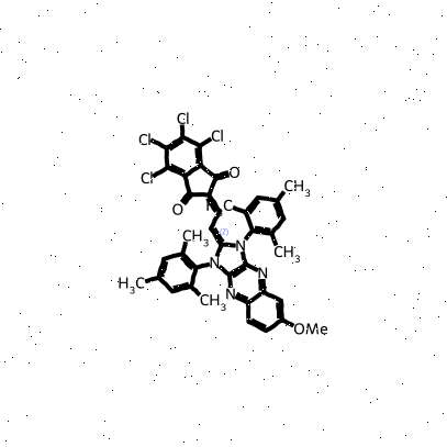 COc1ccc2nc3c(nc2c1)N(c1c(C)cc(C)cc1C)/C(=C\C=C1C(=O)c2c(Cl)c(Cl)c(Cl)c(Cl)c2C1=O)N3c1c(C)cc(C)cc1C